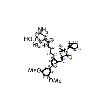 COc1cc(OC)cc(-c2cc(CCCNC(=O)[C@H](CC(N)=O)N(C(=O)O)C(C)(C)C)c(/C=C3\SC(=S)N(C4CC5CCC4C5)C3=O)o2)c1